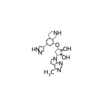 Cc1ncnc2c1ccn2C1CC(Oc2cc(-c3cn[nH]c3)cc3c2CNCC3)[C@@H](O)[C@H]1O